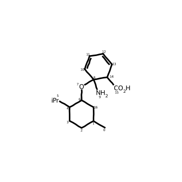 CC1CCC(C(C)C)C(OC2(N)C=CC=CC2C(=O)O)C1